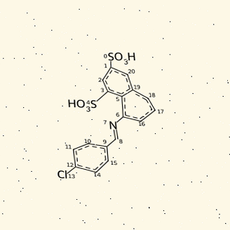 O=S(=O)(O)c1cc(S(=O)(=O)O)c2c(N=Cc3ccc(Cl)cc3)cccc2c1